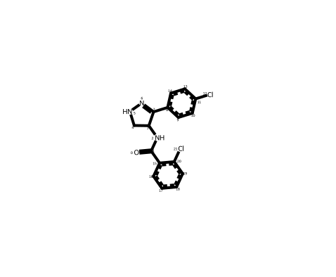 O=C(NC1CNN=C1c1ccc(Cl)cc1)c1ccccc1Cl